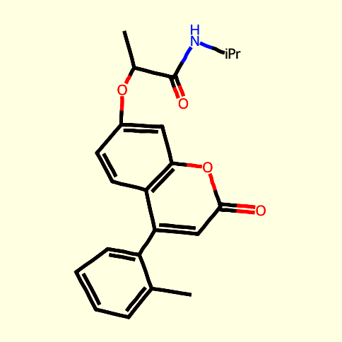 Cc1ccccc1-c1cc(=O)oc2cc(OC(C)C(=O)NC(C)C)ccc12